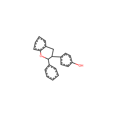 Oc1ccc(C2Cc3ccccc3OC2c2ccccc2)cc1